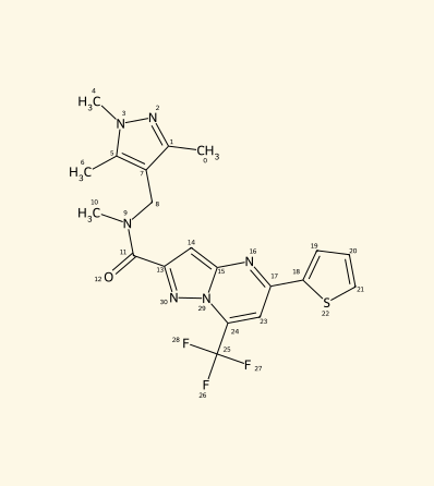 Cc1nn(C)c(C)c1CN(C)C(=O)c1cc2nc(-c3cccs3)cc(C(F)(F)F)n2n1